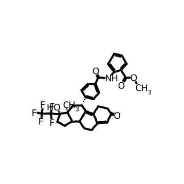 COC(=O)c1ccccc1NC(=O)c1ccc([C@H]2C[C@@]3(C)C(CC[C@]3(O)C(F)(F)C(F)(F)F)C3CCC4=CC(=O)CCC4=C32)cc1